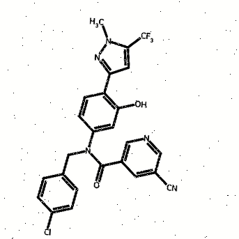 Cn1nc(-c2ccc(N(Cc3ccc(Cl)cc3)C(=O)c3cncc(C#N)c3)cc2O)cc1C(F)(F)F